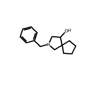 OC1CN(Cc2ccccc2)CC12CCCC2